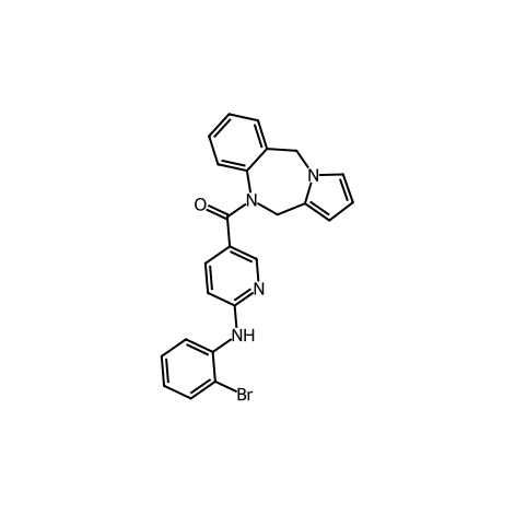 O=C(c1ccc(Nc2ccccc2Br)nc1)N1Cc2cccn2Cc2ccccc21